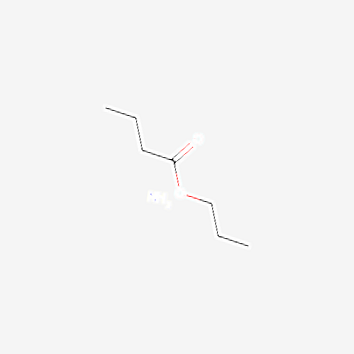 CCCOC(=O)CCC.N